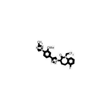 COc1cc(-c2cn(C3CCc4c(F)cccc4N(CC(F)(F)F)C3=O)nn2)ccc1-n1cnc(C)n1